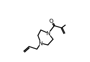 C=CCN1CCN(C(=O)C(=C)C)CC1